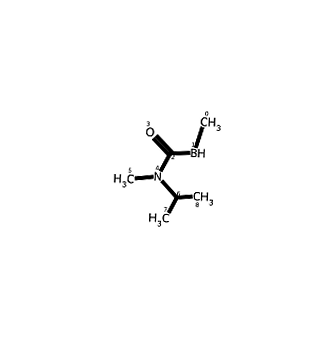 CBC(=O)N(C)C(C)C